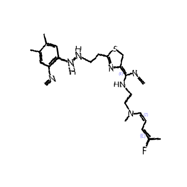 C=N/C(NCCN(C)/C=C\C=C(/C)F)=C1\CSC(CCNNc2cc(C)c(C)cc2N=C)=N1